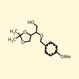 COc1ccc(COC(CO)C2COC(C)(C)O2)cc1